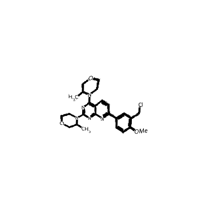 COc1ccc(-c2ccc3c(N4CCOCC4C)nc(N4CCOCC4C)nc3n2)cc1CCl